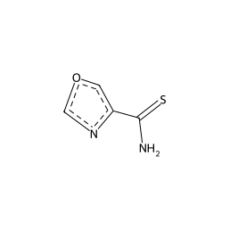 NC(=S)c1cocn1